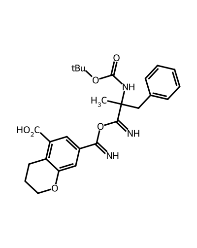 CC(C)(C)OC(=O)NC(C)(Cc1ccccc1)C(=N)OC(=N)c1cc2c(c(C(=O)O)c1)CCCO2